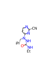 CCNC(=O)NN(CC(C)C)c1ccnc(C#N)n1